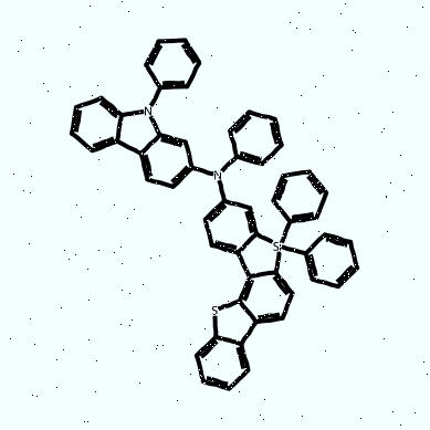 c1ccc(N(c2ccc3c(c2)[Si](c2ccccc2)(c2ccccc2)c2ccc4c(sc5ccccc54)c2-3)c2ccc3c4ccccc4n(-c4ccccc4)c3c2)cc1